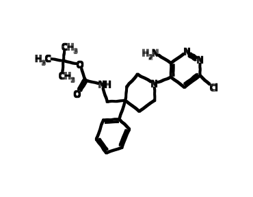 CC(C)(C)OC(=O)NCC1(c2ccccc2)CCN(c2cc(Cl)nnc2N)CC1